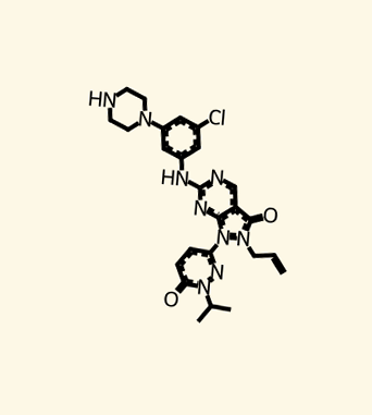 C=CCn1c(=O)c2cnc(Nc3cc(Cl)cc(N4CCNCC4)c3)nc2n1-c1ccc(=O)n(C(C)C)n1